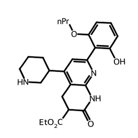 CCCOc1cccc(O)c1-c1cc(C2CCCNC2)c2c(n1)NC(=O)C(C(=O)OCC)C2